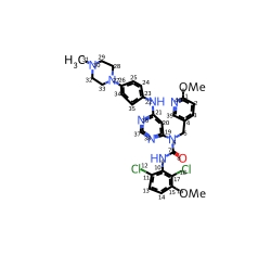 COc1ccc(CN(C(=O)Nc2c(Cl)ccc(OC)c2Cl)c2cc(Nc3ccc(N4CCN(C)CC4)cc3)ncn2)cn1